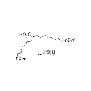 C=CC(=O)O.CCCCCCCCCCCCCCCCCCC(CCCCCCCCCCCCCCCC)C(=O)O.N